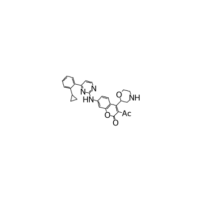 CC(=O)c1c(C2CNCCO2)c2ccc(Nc3nccc(-c4ccccc4C4CC4)n3)cc2oc1=O